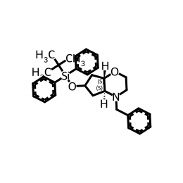 CC(C)(C)[Si](OC1C[C@@H]2OCCN(Cc3ccccc3)[C@H]2C1)(c1ccccc1)c1ccccc1